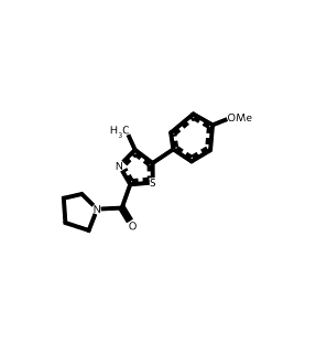 COc1ccc(-c2sc(C(=O)N3CCCC3)nc2C)cc1